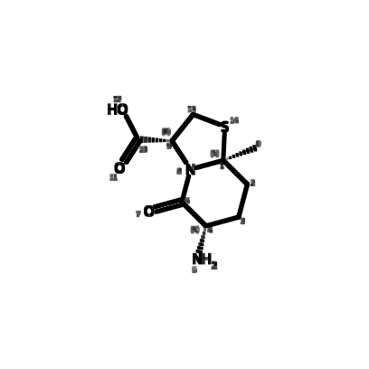 C[C@]12CC[C@H](N)C(=O)N1[C@H](C(=O)O)CS2